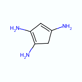 NC1=CC(N)=C(N)C1